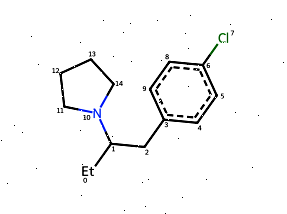 CCC(Cc1ccc(Cl)cc1)N1CCCC1